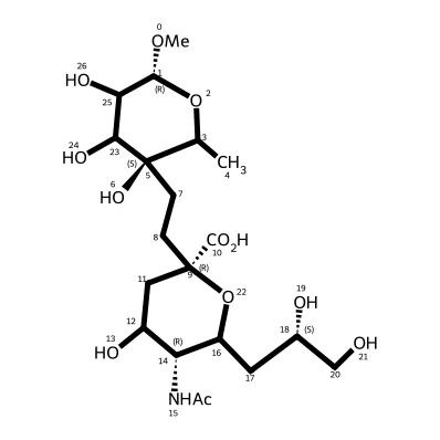 CO[C@@H]1OC(C)[C@](O)(CC[C@]2(C(=O)O)CC(O)[C@@H](NC(C)=O)C(C[C@H](O)CO)O2)C(O)C1O